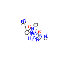 Cc1c(C#Cc2cccc3nc(C(C)NC(=O)c4nc(C5=CCC=N5)cnc4N)n(-c4ccccc4)c(=O)c23)cnn1C